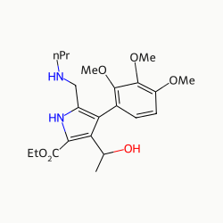 CCCNCc1[nH]c(C(=O)OCC)c(C(C)O)c1-c1ccc(OC)c(OC)c1OC